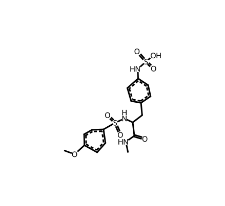 CNC(=O)C(Cc1ccc(NS(=O)(=O)O)cc1)NS(=O)(=O)c1ccc(OC)cc1